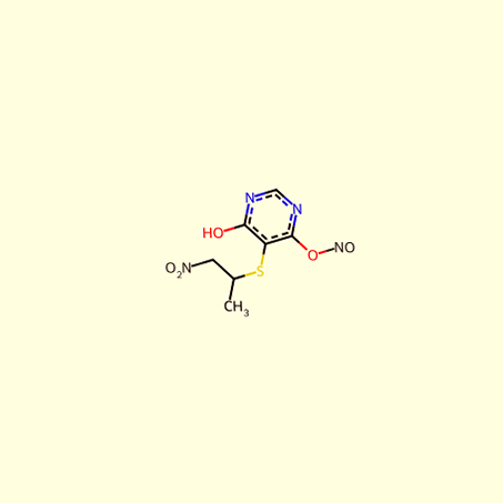 CC(C[N+](=O)[O-])Sc1c(O)ncnc1ON=O